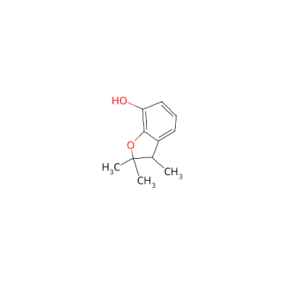 CC1c2cccc(O)c2OC1(C)C